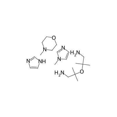 CC(C)(CN)OC(C)(C)CN.CN1CCOCC1.Cn1ccnc1.c1c[nH]cn1